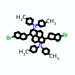 Cc1ccc(N(c2ccc(C)cc2)c2cc(-c3ccc4cc(Br)ccc4c3)c3ccc4c(N(c5ccc(C)cc5)c5ccc(C)cc5)cc(-c5ccc6cc(Br)ccc6c5)c5ccc2c3c54)cc1